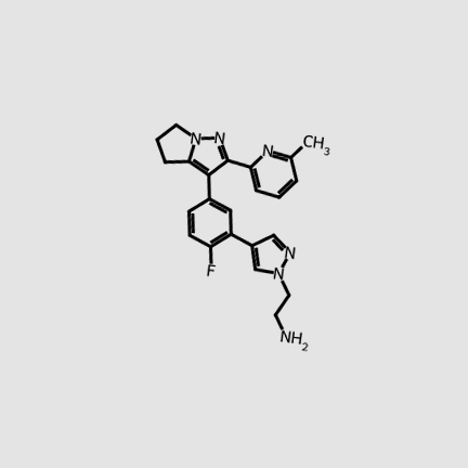 Cc1cccc(-c2nn3c(c2-c2ccc(F)c(-c4cnn(CCN)c4)c2)CCC3)n1